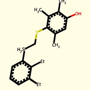 CCc1cccc([SiH2]CSc2c(C)cc(O)c(C)c2C)c1CC